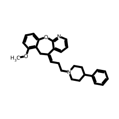 COc1cccc2c1C/C(=C/CCN1CCC(c3ccccc3)CC1)c1cccnc1O2